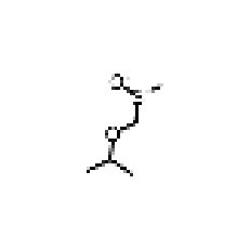 CC(C)OC[S+](C)[O-]